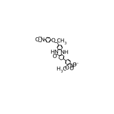 COc1cc(C2=CC3=C(CC2)C(=O)Nc2cc(C(C)COc4ccc(N5CCOCC5)cc4)ccc2N3)ccc1[N+](=O)[O-]